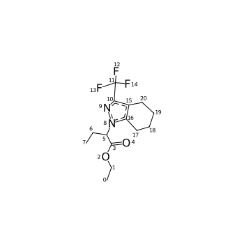 CCOC(=O)C(CC)n1nc(C(F)(F)F)c2c1CCCC2